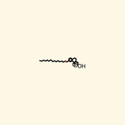 CCCCCCCCCCCCCCCCc1ccc2c(c1)C(=O)C(=CC(=O)O)CC2